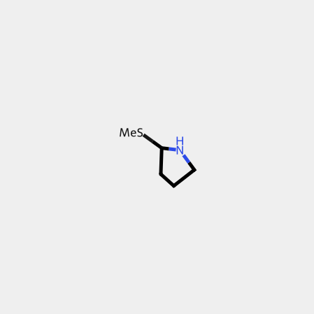 CSC1CCCN1